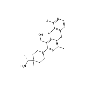 Cc1nc(N2CCC(C)([C@@H](C)N)CC2)c(CO)nc1Sc1ccnc(Cl)c1Cl